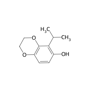 CC(C)c1c(O)ccc2c1OCCO2